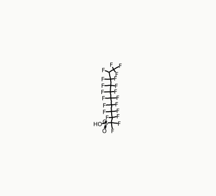 O=S(=O)(O)C(F)(F)C(F)(F)C(F)(F)C(F)(F)C(F)(F)C(F)(F)C(F)(F)C(F)(F)C(F)C(F)(F)F